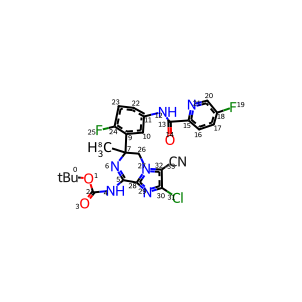 CC(C)(C)OC(=O)NC1=NC(C)(c2cc(NC(=O)c3ccc(F)cn3)ccc2F)Cn2c1nc(Cl)c2C#N